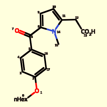 CCCCCCOc1ccc(C(=O)c2ccc(CC(=O)O)n2C)cc1